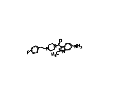 Cn1nc2cc(N)ccc2c1C(=O)N1CCN(CCc2ccc(F)cc2)CC1